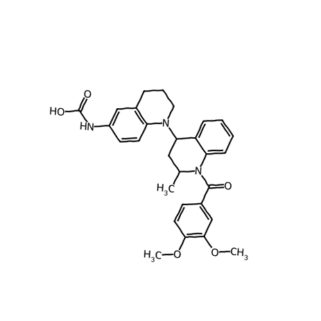 COc1ccc(C(=O)N2c3ccccc3C(N3CCCc4cc(NC(=O)O)ccc43)CC2C)cc1OC